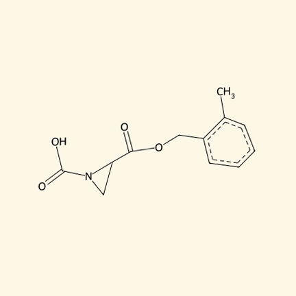 Cc1ccccc1COC(=O)C1CN1C(=O)O